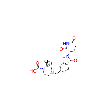 C[C@H]1CN(Cc2ccc3c(c2)CN(C2CCC(=O)NC2=O)C3=O)CCN1C(=O)O